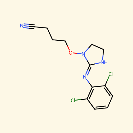 N#CCCCON1CCN/C1=N\c1c(Cl)cccc1Cl